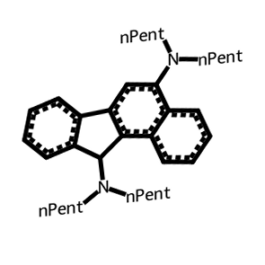 CCCCCN(CCCCC)c1cc2c(c3ccccc13)C(N(CCCCC)CCCCC)c1ccccc1-2